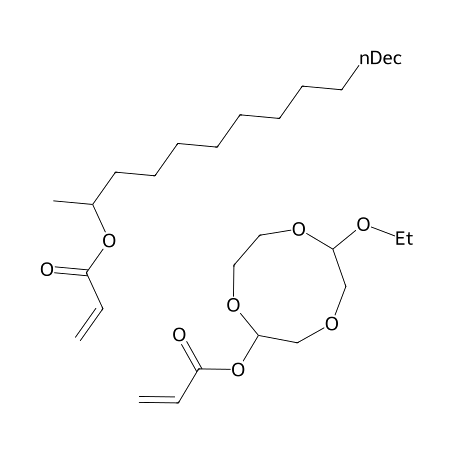 C=CC(=O)OC(C)CCCCCCCCCCCCCCCCCC.C=CC(=O)OC1COCC(OCC)OCCO1